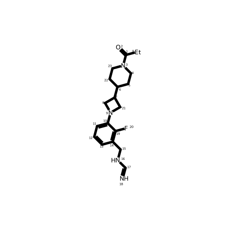 CCC(=O)N1CCC(C2CN(c3cccc(CN[C]=N)c3F)C2)CC1